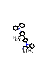 CC/C=C\c1c(C)c2ccccc2n1-c1ccc(-c2ccc(N3c4ccccc4C4C=CC=CC43)cc2C)c(C)c1